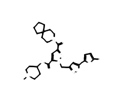 CC(C)N1CCC(NC(=O)c2cc(C(=O)N3CCC4(CCCC4)CC3)nn2Cc2cc(-c3ccc(Cl)s3)on2)CC1